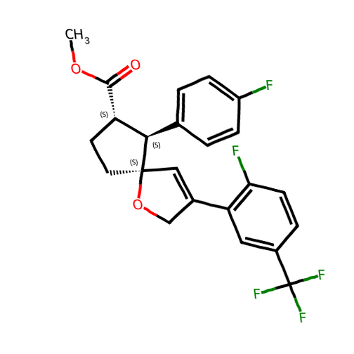 COC(=O)[C@H]1CC[C@@]2(C=C(c3cc(C(F)(F)F)ccc3F)CO2)[C@@H]1c1ccc(F)cc1